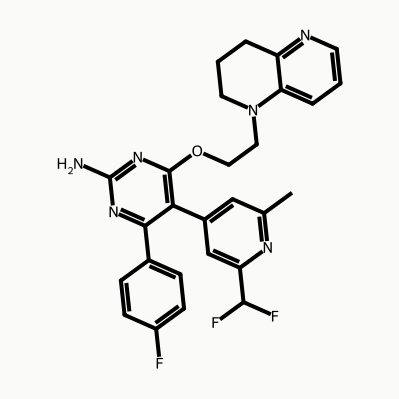 Cc1cc(-c2c(OCCN3CCCc4ncccc43)nc(N)nc2-c2ccc(F)cc2)cc(C(F)F)n1